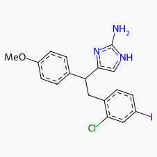 COc1ccc(C(Cc2ccc(I)cc2Cl)c2c[nH]c(N)n2)cc1